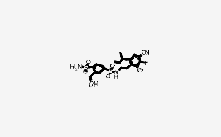 C=CC(C)c1cc(C#N)c(F)c(C(C)C)c1CCNS(=O)(=O)c1ccc(S(N)(=O)=O)c(CO)c1